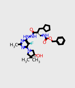 Cc1nc(NNC(=O)[C@@H](CNC(=O)OCc2ccccc2)CC2CCCC2)c(F)c(N2C[C@@H](O)C(C)(C)C2)n1